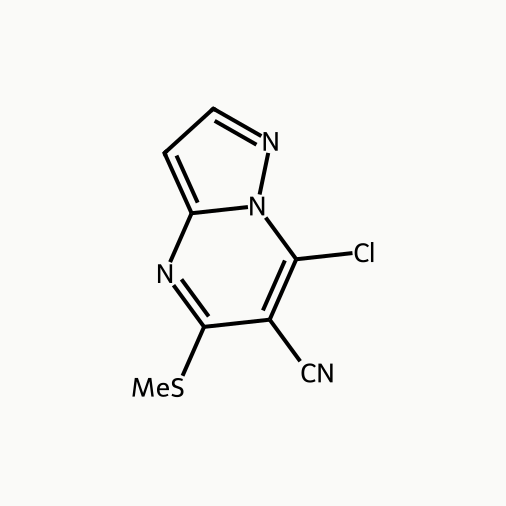 CSc1nc2ccnn2c(Cl)c1C#N